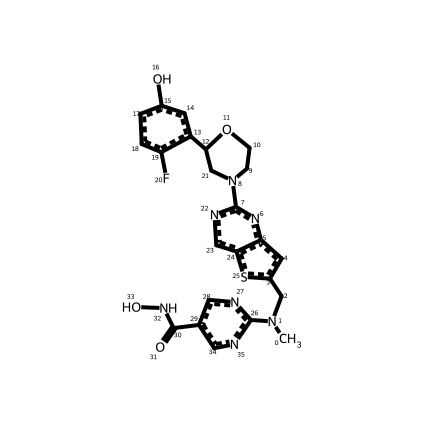 CN(Cc1cc2nc(N3CCOC(c4cc(O)ccc4F)C3)ncc2s1)c1ncc(C(=O)NO)cn1